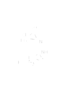 CCOc1cc(CN2CCC(Nc3ccc(C(=O)NCC(F)(F)F)cn3)CC2)cc(OCC)c1Cl